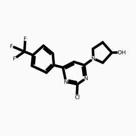 OC1CCN(c2cc(-c3ccc(C(F)(F)F)cc3)nc(Cl)n2)C1